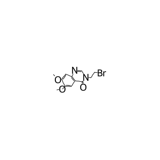 COc1cc2ncn(CCBr)c(=O)c2cc1OC